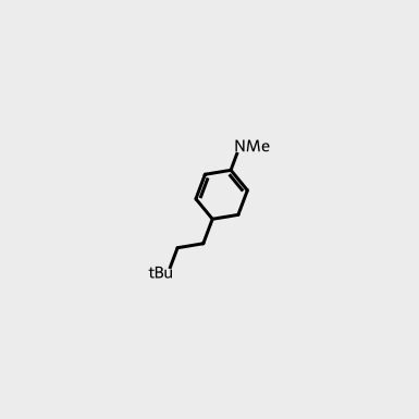 CNC1=CCC(CCC(C)(C)C)C=C1